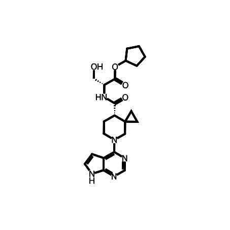 O=C(N[C@H](CO)C(=O)OC1CCCC1)[C@H]1CCN(c2ncnc3[nH]ccc23)CC12CC2